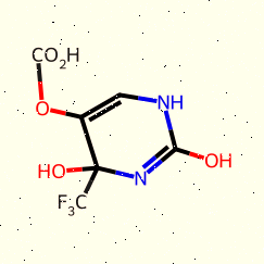 O=C(O)OC1=CNC(O)=NC1(O)C(F)(F)F